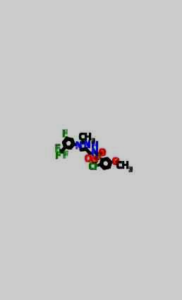 COc1ccc(Cl)c(S(=O)(=O)NC(=O)c2cn(-c3cc(F)cc(C(F)(F)F)c3)c(C)n2)c1